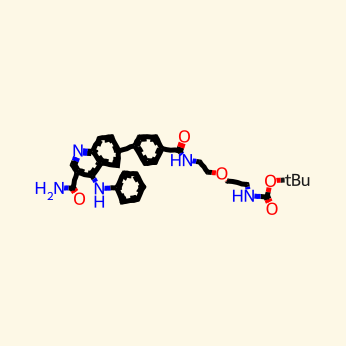 CC(C)(C)OC(=O)NCCOCCNC(=O)c1ccc(-c2ccc3ncc(C(N)=O)c(Nc4ccccc4)c3c2)cc1